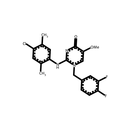 COc1cn(Cc2ccc(F)c(F)c2)c(Nc2cc(C)c(Cl)cc2C)nc1=O